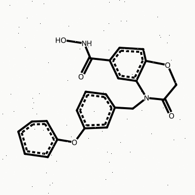 O=C(NO)c1ccc2c(c1)N(Cc1cccc(Oc3ccccc3)c1)C(=O)CO2